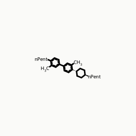 CCCCCc1ccc(-c2ccc([C@H]3CC[C@H](CCCCC)CC3)c(C)c2)cc1C